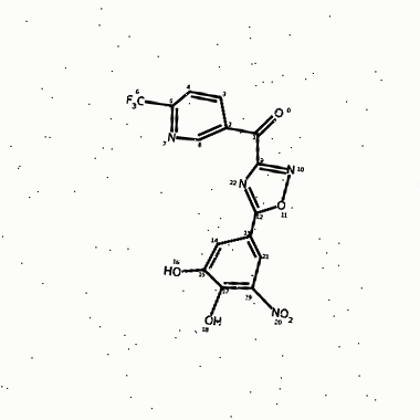 O=C(c1ccc(C(F)(F)F)nc1)c1noc(-c2cc(O)c(O)c([N+](=O)[O-])c2)n1